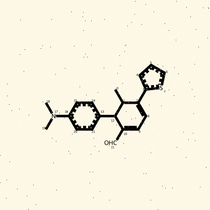 CC1C(c2cccs2)=CC=C(C=O)C1c1ccc(N(C)C)cc1